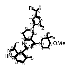 CO[C@@H]1CCN(c2nc(-c3c(C)ccc4[nH]nc(C)c34)nc3c2CN(c2cc(C(F)F)nn2C)CC3)CC1(C)C